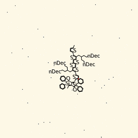 CCCCCCCCCCCCC(CCCCCCCCCCCC)Cc1c(-c2ccc(C)s2)sc2c1sc1c3sc(-c4ccc(C5=C6C(=O)[Si](c7ccccc7)(c7ccccc7)C(C)=C6C(=O)[Si]5(c5ccccc5)c5ccccc5)s4)c(CC(CCCCCCCCCCCC)CCCCCCCCCCCC)c3sc21